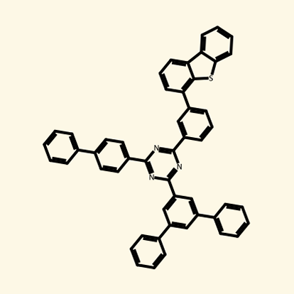 c1ccc(-c2ccc(-c3nc(-c4cc(-c5ccccc5)cc(-c5ccccc5)c4)nc(-c4cccc(-c5cccc6c5sc5ccccc56)c4)n3)cc2)cc1